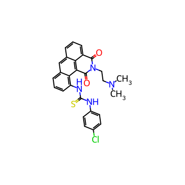 CN(C)CCN1C(=O)c2cccc3cc4cccc(NC(=S)Nc5ccc(Cl)cc5)c4c(c23)C1=O